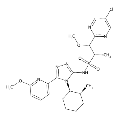 COc1cccc(-c2nnc(NS(=O)(=O)[C@@H](C)[C@H](OC)c3ncc(Cl)cn3)n2[C@@H]2CCCC[C@@H]2C)n1